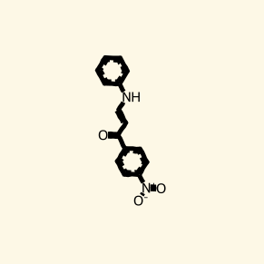 O=C(C=CNc1ccccc1)c1ccc([N+](=O)[O-])cc1